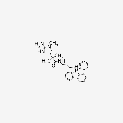 CN(CCC(C)(C)C(=O)NCCCC[PH](c1ccccc1)(c1ccccc1)c1ccccc1)C(=N)N